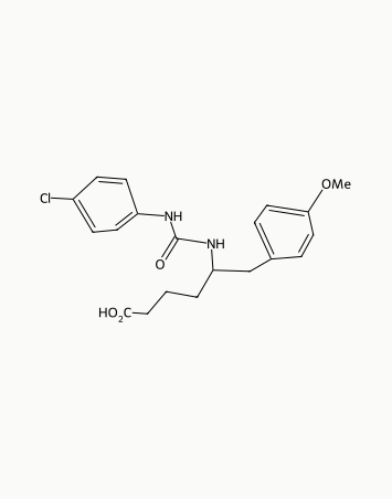 COc1ccc(CC(CCCC(=O)O)NC(=O)Nc2ccc(Cl)cc2)cc1